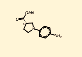 COC(=O)[C@H]1CCN(c2ccc(N)cc2)C1